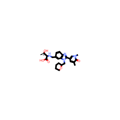 Cc1cc(-c2nc3ccc(CNC(C(=O)O)[C@@H](C)O)cc3n2CC2CCCCO2)cn(C)c1=O